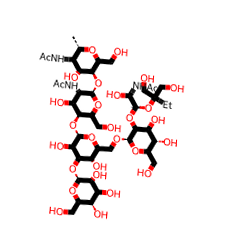 CCC(CO)(CO)O[C@@H](OC1C(O)[C@H](O)C(CO)O[C@@H]1OCC1O[C@@H](O[C@@H]2C(CO)O[C@@H](O[C@@H]3C(CO)O[C@@H](C)C(NC(C)=O)C3O)C(NC(C)=O)C2O)C(O)C(O[C@H]2OC(CO)[C@@H](O)C(O)C2O)[C@@H]1O)C(O)NC(C)=O